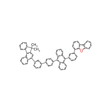 CC1(C)c2ccccc2-c2c1cc(-c1cccc(-c3ccc(-c4c5ccccc5c(-c5cccc(-c6cccc7c6oc6ccccc67)c5)c5ccccc45)cc3)c1)c1ccccc21